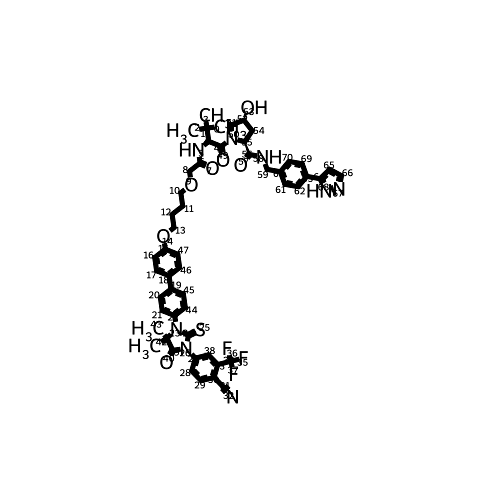 CC(C)(C)C(NC(=O)COCCCCOc1ccc(-c2ccc(N3C(=S)N(c4ccc(C#N)c(C(F)(F)F)c4)C(=O)C3(C)C)cc2)cc1)C(=O)N1C[C@H](O)C[C@H]1C(=O)NCc1ccc(-c2ccn[nH]2)cc1